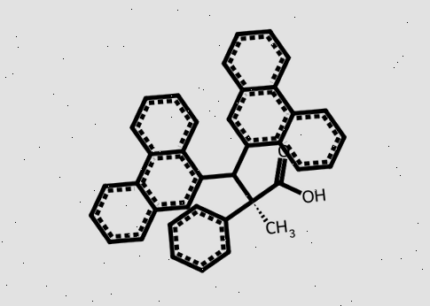 C[C@](C(=O)O)(c1ccccc1)C(c1cc2ccccc2c2ccccc12)c1cc2ccccc2c2ccccc12